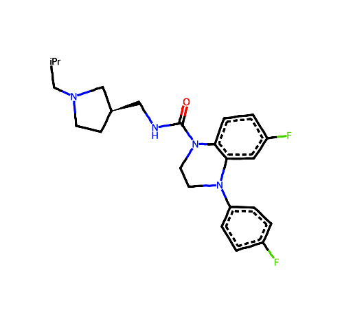 CC(C)CN1CC[C@H](CNC(=O)N2CCN(c3ccc(F)cc3)c3cc(F)ccc32)C1